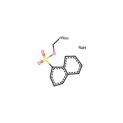 CCCCCCCCCCOS(=O)(=O)c1cccc2ccccc12.[NaH]